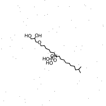 CC(C)CCCCCCCCCCCCCCCOCC(O)CO.O=P(O)(O)O